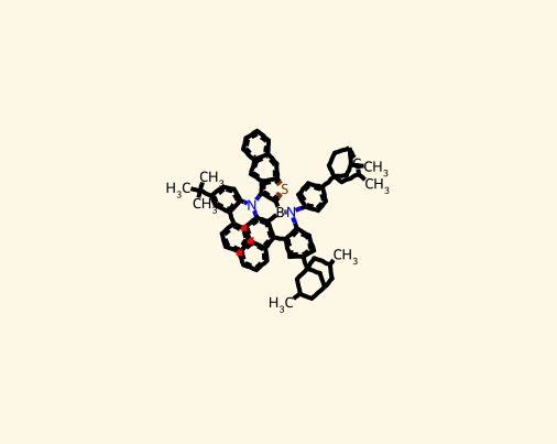 CC1CC2CC(C)CC(c3ccc4c(c3)-c3c5c(cc6ccccc36)N(c3ccc(C(C)(C)C)cc3-c3ccccc3)c3c(sc6cc7ccccc7cc36)B5N4c3ccc(C45CCC(CC(C)C4)C(C)C5)cc3)(C1)C2